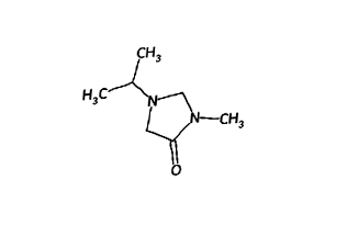 CC(C)N1CC(=O)N(C)C1